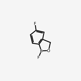 FB1OCc2cc(F)ccc21